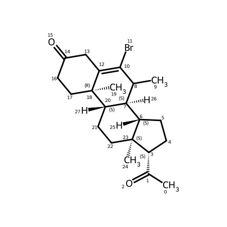 CC(=O)[C@H]1CC[C@H]2[C@@H]3C(C)C(Br)=C4CC(=O)CC[C@]4(C)[C@H]3CC[C@]12C